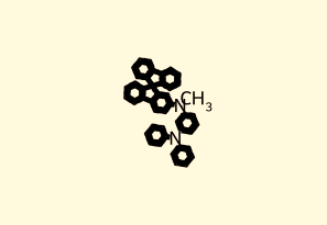 CN(c1cccc(N(c2ccccc2)c2ccccc2)c1)c1ccc2c(c1)C1(c3ccccc3-c3ccccc31)c1ccccc1-2